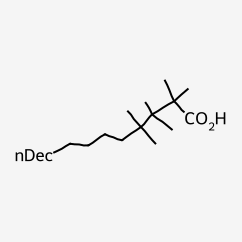 CCCCCCCCCCCCCCC(C)(C)C(C)(C)C(C)(C)C(=O)O